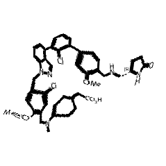 COc1cc(-c2cccc(-c3cccc4c3cnn4Cc3cc(OC)c(CN(C)C4CCC(CC(=O)O)CC4)cc3Cl)c2Cl)ccc1CNC[C@@H]1CCC(=O)N1